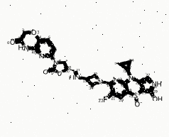 O=C1COc2ccc(N3C[C@H](CNC4CN(c5nc6c(cc5F)[S+]([O-])c5c(c[nH]c5O)N6C5CC5)C4)OC3=O)nc2N1